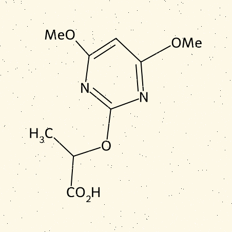 COc1cc(OC)nc(OC(C)C(=O)O)n1